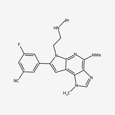 CNc1nc2c(cc(-c3cc(F)cc(C#N)c3)n2CCNC(C)C)c2c1ncn2C